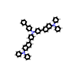 c1ccc(-c2ccc(N(c3ccc(-c4ccc5cc(N(c6ccccc6)c6ccccc6)ccc5c4)cc3)c3ccc(-c4ccc5cc(N(c6ccccc6)c6ccccc6)ccc5c4)cc3)cc2)cc1